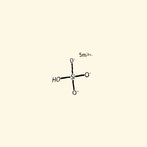 [O-][Si]([O-])([O-])O.[Sm+3]